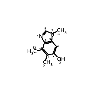 Cc1c(O)cc2c(ncn2C)c1C